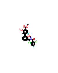 COC(=O)c1cc(F)c(-c2cccc3c2OCN(C(=O)c2c(Cl)cc(F)cc2Cl)C3)cc1O